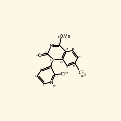 COc1nc(=O)n(-c2cccnc2Cl)c2cc(C(F)(F)F)ccc12